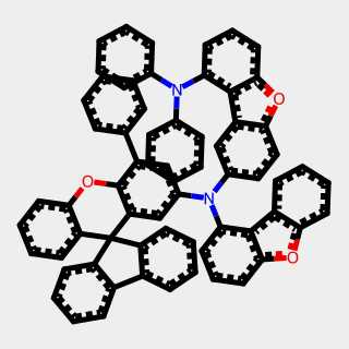 c1ccc(-c2cc(N(c3ccc4oc5cccc(N(c6ccccc6)c6ccccc6)c5c4c3)c3cccc4oc5ccccc5c34)cc3c2Oc2ccccc2C32c3ccccc3-c3ccccc32)cc1